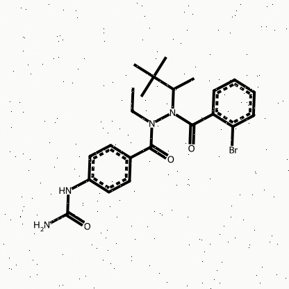 CCN(C(=O)c1ccc(NC(N)=O)cc1)N(C(=O)c1ccccc1Br)C(C)C(C)(C)C